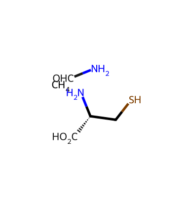 C.NC=O.N[C@H](CS)C(=O)O